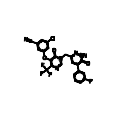 N#Cc1cc(Cl)cc(Oc2c(C(F)(F)F)ncn(Cc3cc(-c4cccc(F)c4)c(=O)[nH]n3)c2=O)c1